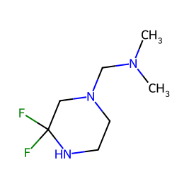 CN(C)CN1CCNC(F)(F)C1